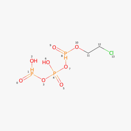 O=[PH](O)OP(=O)(O)O[PH](=O)OCCCl